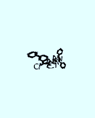 Clc1c(Cl)n(-c2nc(-c3ccccc3)nc(-c3ccccc3)n2)c2ccc(-c3ccccc3)cc12